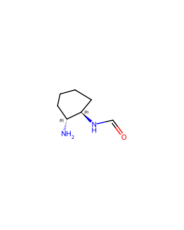 N[C@@H]1CCCC[C@H]1NC=O